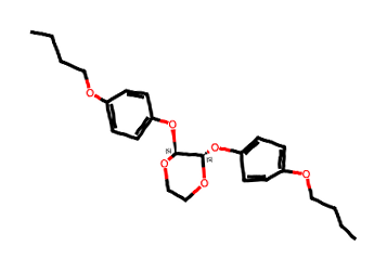 CCCCOc1ccc(O[C@@H]2OCCO[C@H]2Oc2ccc(OCCCC)cc2)cc1